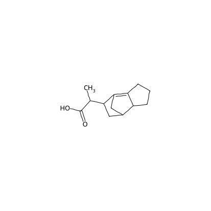 CC(C(=O)O)C1CC2CC1=C1CCCC12